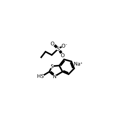 CCCS(=O)(=O)[O-].Sc1nc2ccccc2s1.[Na+]